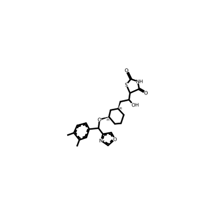 Cc1ccc(C(O[C@@H]2CCC[C@H](CC(O)C3SC(=O)NC3=O)C2)c2cocn2)cc1C